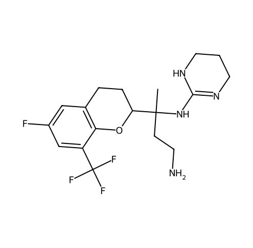 CC(CCN)(NC1=NCCCN1)C1CCc2cc(F)cc(C(F)(F)F)c2O1